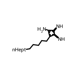 CCCCCCCCCCCCc1c(N)c(=N)c1=N